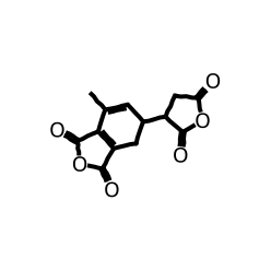 CC1=CC(C2CC(=O)OC2=O)CC2=C1C(=O)OC2=O